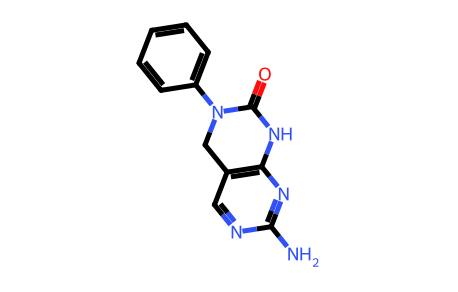 Nc1ncc2c(n1)NC(=O)N(c1ccccc1)C2